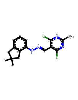 CSc1nc(Cl)c(/C=N/Nc2cccc3c2CC(C)(C)C3)c(Cl)n1